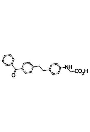 O=C(O)CNc1ccc(CCc2ccc(C(=O)c3ccccc3)cc2)cc1